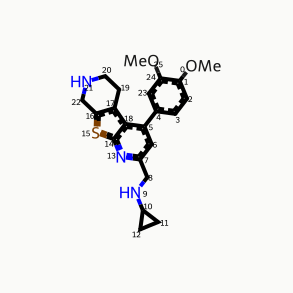 COc1ccc(-c2cc(CNC3CC3)nc3sc4c(c23)CCNC4)cc1OC